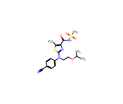 Cc1sc(N(CCOC(C)C)c2ccc(C#N)cc2)nc1C(=O)NS(C)(=O)=O